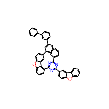 c1ccc(-c2cccc(-c3cccc(-c4ccc5oc6cccc(-c7nc(-c8ccccc8)nc(-c8ccc9oc%10ccccc%10c9c8)n7)c6c5c4)c3)c2)cc1